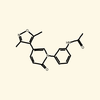 CC(=O)Nc1cccc(-n2cc(-c3c(C)noc3C)ccc2=O)c1